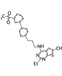 CCc1nc(NCCCc2ccc(-c3cccc(S(C)(=O)=O)c3)cc2)c2cc(C)sc2n1